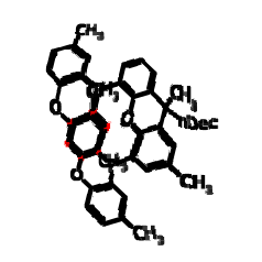 CCCCCCCCCCC1(C)c2cccc(P3c4cc(C)ccc4Oc4ccc(C)cc43)c2Oc2c(P3c4cc(C)ccc4Oc4ccc(C)cc43)cc(C)cc21